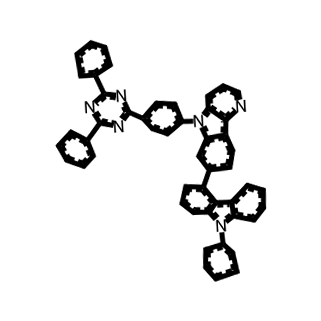 c1ccc(-c2nc(-c3ccccc3)nc(-c3ccc(-n4c5cc(-c6cccc7c6c6ccccc6n7-c6ccccc6)ccc5c5ncccc54)cc3)n2)cc1